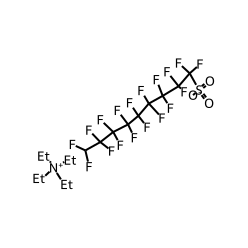 CC[N+](CC)(CC)CC.O=S(=O)([O-])C(F)(F)C(F)(F)C(F)(F)C(F)(F)C(F)(F)C(F)(F)C(F)(F)C(F)(F)C(F)F